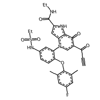 C#CC(=O)c1cn(-c2cc(NS(=O)(=O)CC)ccc2Oc2c(C)cc(F)cc2C)c2cc(C(=O)NCC)[nH]c2c1=O